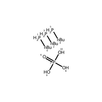 CCCCP.CCCCP.CCCCP.O=P(O)(O)O